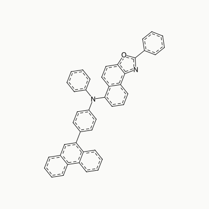 c1ccc(-c2nc3c(ccc4c(N(c5ccccc5)c5ccc(-c6cc7ccccc7c7ccccc67)cc5)cccc43)o2)cc1